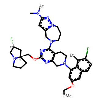 CCc1c(F)ccc2cc(OCOC)cc(N3CCc4c(nc(OC[C@@]56CCCN5C[C@H](F)C6)nc4N4CCCn5nc(N(C)C(C)=O)cc5C4)C3)c12